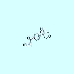 CC(C)(C)OC(=O)N1CCN(C2(C)CCOCC2)CC1